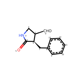 O=CC1CNC(=O)[C@@H]1Cc1ccccc1